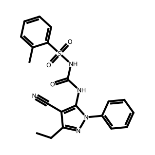 CCc1nn(-c2ccccc2)c(NC(=O)NS(=O)(=O)c2ccccc2C)c1C#N